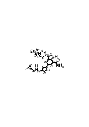 CCS(=O)(=O)N1CCC(c2c[nH]c3c(C(N)=O)cc(-c4ccc(CNCC5CC5)s4)cc23)CC1